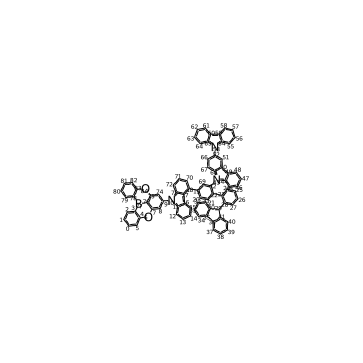 c1ccc2c(c1)Oc1cc(-n3c4ccccc4c4c(-c5ccc(-c6ccccc6C6c7ccccc7-c7ccccc76)c(-n6c7ccccc7c7cc(-n8c9ccccc9c9ccccc98)ccc76)c5)cccc43)cc3c1B2c1ccccc1O3